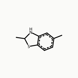 Cc1ccc2c(c1)NC(C)S2